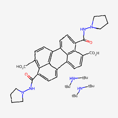 CC(C)(C)NC(C)(C)C.CC(C)(C)NC(C)(C)C.O=C(O)c1ccc2c3ccc(C(=O)NN4CCCC4)c4c(C(=O)O)ccc(c5ccc(C(=O)NN6CCCC6)c1c25)c43